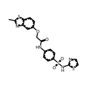 Cc1nc2cc(OCC(=O)Nc3ccc(S(=O)(=O)Nc4nccs4)cc3)ccc2s1